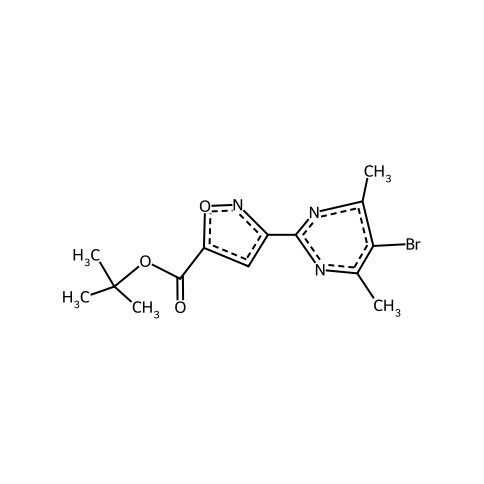 Cc1nc(-c2cc(C(=O)OC(C)(C)C)on2)nc(C)c1Br